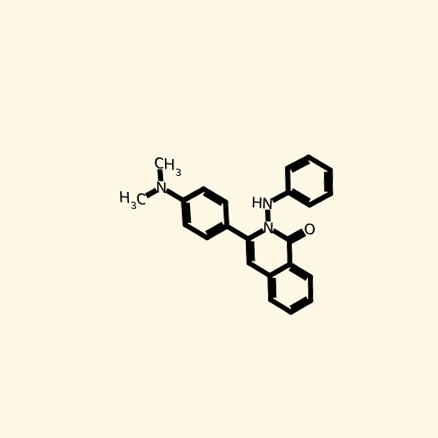 CN(C)c1ccc(-c2cc3ccccc3c(=O)n2Nc2ccccc2)cc1